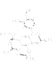 COC(=O)C1OC(Oc2ccc(C=O)c(O)c2)C(OC(C)=O)C(OC(C)=O)C1OC(C)=O